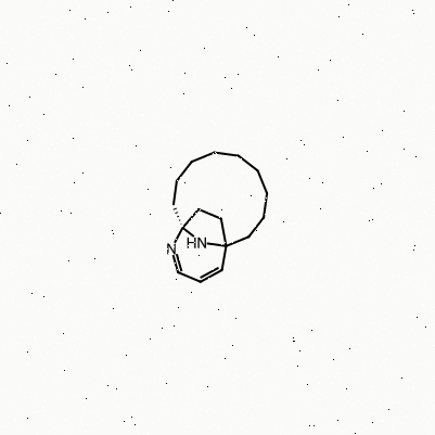 C1=CC23CCCCCCCCC[C@@](CC2)(N=C1)N3